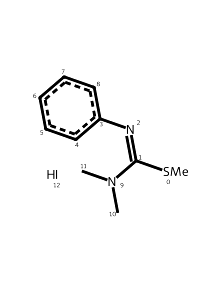 CSC(=Nc1ccccc1)N(C)C.I